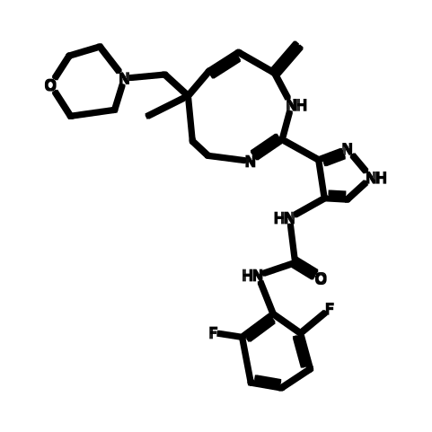 C=C1/C=C\C(C)(CN2CCOCC2)CC/N=C(/c2n[nH]cc2NC(=O)Nc2c(F)cccc2F)N1